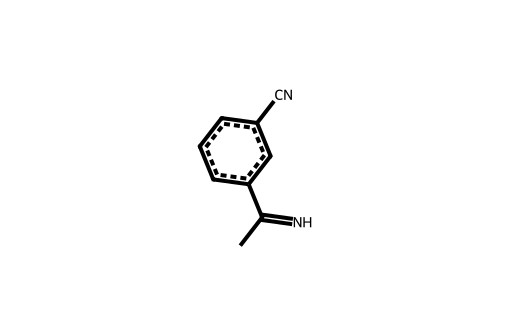 CC(=N)c1cccc(C#N)c1